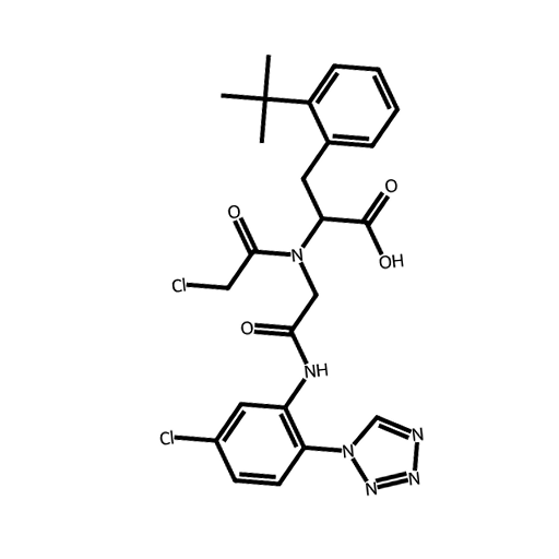 CC(C)(C)c1ccccc1CC(C(=O)O)N(CC(=O)Nc1cc(Cl)ccc1-n1cnnn1)C(=O)CCl